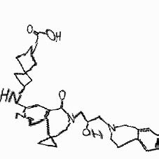 O=C(O)N1CC2(CC(Nc3cc4c(cn3)C3(CC3)CN(CC(O)CN3CCc5ccccc5C3)C4=O)C2)C1